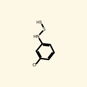 SSNc1cccc(Cl)c1